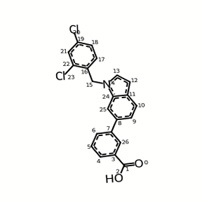 O=C(O)c1cccc(-c2ccc3ccn(Cc4ccc(Cl)cc4Cl)c3c2)c1